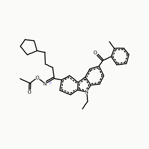 CCn1c2ccc(C(=O)c3ccccc3C)cc2c2cc(/C(CCCC3CCCC3)=N/OC(C)=O)ccc21